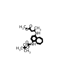 COC(=O)CC(C)Nc1ccc(NC(=O)OC(C)(C)C)c2c1C=CCC=C2